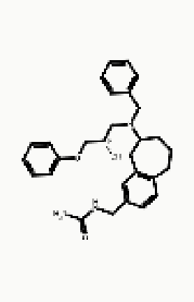 NC(=O)NCc1ccc2c(c1)CC(N(Cc1ccccc1)C[C@H](O)COc1ccccc1)CCC2